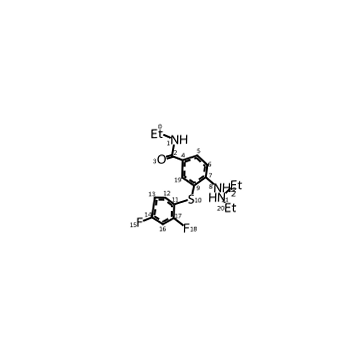 CCNC(=O)c1ccc(N)c(Sc2ccc(F)cc2F)c1.CCNCC